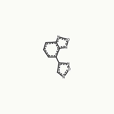 [c]1nonc1-c1cccc2nonc12